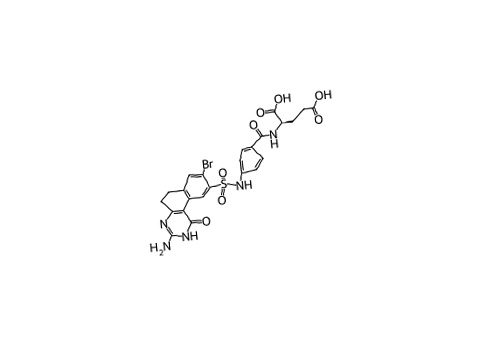 Nc1nc2c(c(=O)[nH]1)-c1cc(S(=O)(=O)Nc3ccc(C(=O)N[C@H](CCC(=O)O)C(=O)O)cc3)c(Br)cc1CC2